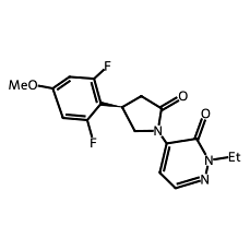 CCn1nccc(N2C[C@@H](c3c(F)cc(OC)cc3F)CC2=O)c1=O